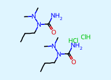 CCCN(C(N)=O)N(C)C.CCCN(C(N)=O)N(C)C.Cl.Cl